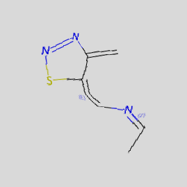 C=c1nns/c1=C/N=C\C